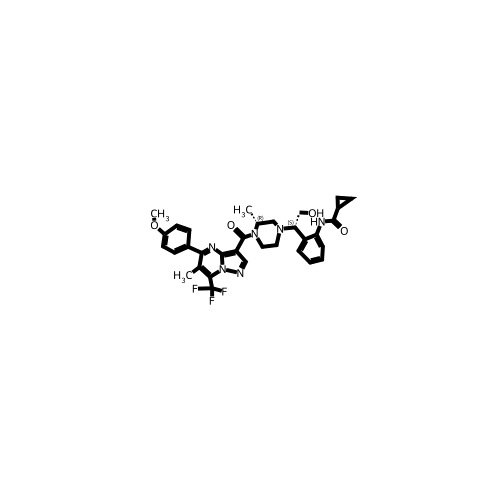 COc1ccc(-c2nc3c(C(=O)N4CCN([C@H](CO)c5ccccc5NC(=O)C5CC5)C[C@H]4C)cnn3c(C(F)(F)F)c2C)cc1